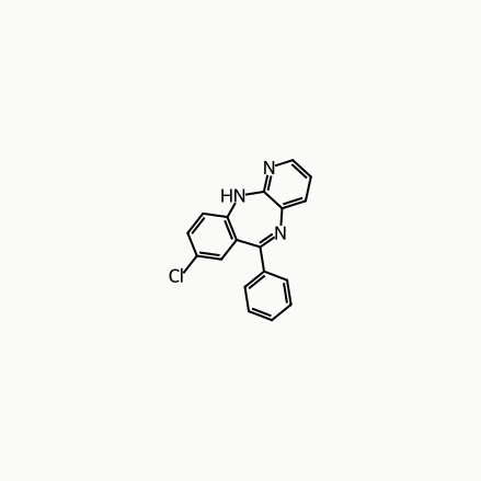 Clc1ccc2c(c1)C(c1ccccc1)=Nc1cccnc1N2